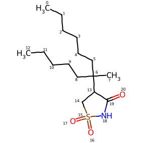 CCCCCCC(C)(CCCCC)C1CS(=O)(=O)NC1=O